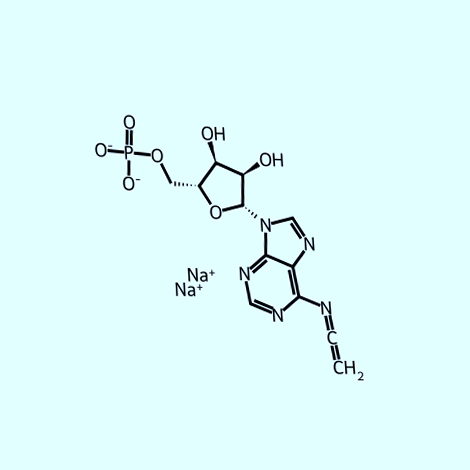 C=C=Nc1ncnc2c1ncn2[C@@H]1O[C@H](COP(=O)([O-])[O-])[C@@H](O)[C@H]1O.[Na+].[Na+]